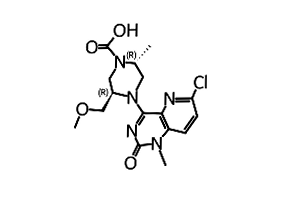 COC[C@H]1CN(C(=O)O)[C@H](C)CN1c1nc(=O)n(C)c2ccc(Cl)nc12